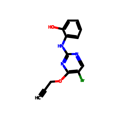 C#CCOc1nc(Nc2ccccc2O)ncc1Br